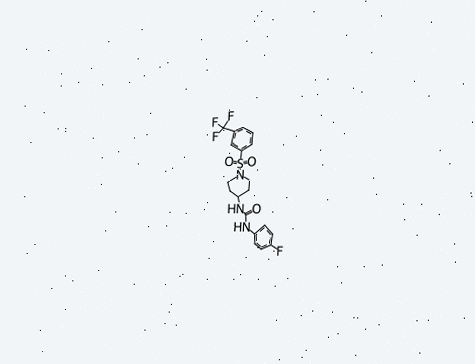 O=C(Nc1ccc(F)cc1)NC1CCN(S(=O)(=O)c2cccc(C(F)(F)F)c2)CC1